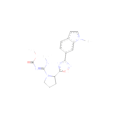 CCCCCCCCCCn1ccc2ccc(-c3noc(C4CCCN4C(=NC(=O)OC(C)(C)C)NC(=O)O)n3)cc21